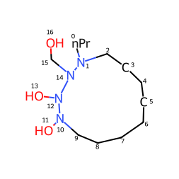 CCCN1CCCCCCCCN(O)N(O)N1CO